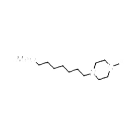 COCCCCCCCN1CCN(C)CC1